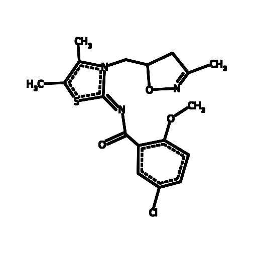 COc1ccc(Cl)cc1C(=O)N=c1sc(C)c(C)n1CC1CC(C)=NO1